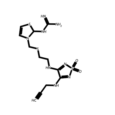 C#CCNC1=NS(=O)(=O)N=C1NCCSCN1C=CSC1NC(=N)N